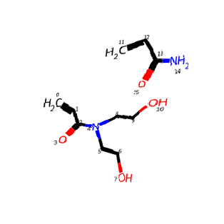 C=CC(=O)N(CCO)CCO.C=CC(N)=O